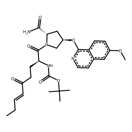 CC/C=C/C(=O)CC[C@H](NC(=O)OC(C)(C)C)C(=O)N1C[C@H](Oc2nccc3cc(OC)ccc23)C[C@H]1C(N)=O